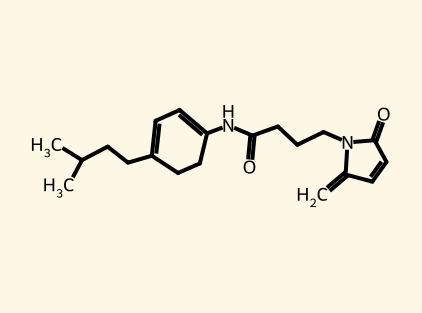 C=C1C=CC(=O)N1CCCC(=O)NC1=CC=C(CCC(C)C)CC1